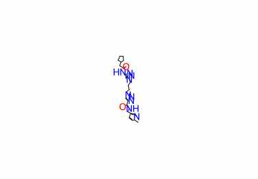 Cc1ccc(CNC(=O)c2cn(CCCCn3cc(NC(=O)CC4CCCC4)nn3)nn2)cn1